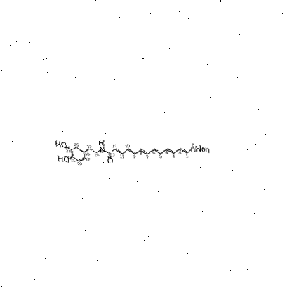 CCCCCCCCCC=CC=CC=CC=CC=CC=CC(=O)NCCc1ccc(O)c(O)c1